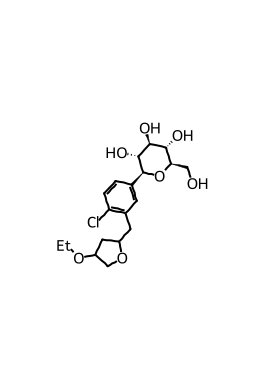 CCOC1COC(Cc2cc([C@@H]3O[C@H](CO)[C@@H](O)[C@H](O)[C@H]3O)ccc2Cl)C1